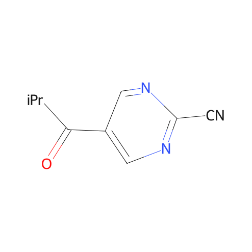 CC(C)C(=O)c1cnc(C#N)nc1